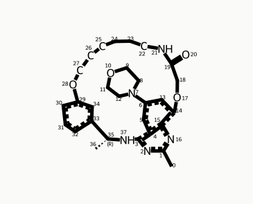 Cc1nc2c3cc(N4CCOCC4)cc(c3n1)OCC(=O)NCCCCCCOc1cccc(c1)[C@@H](C)N2